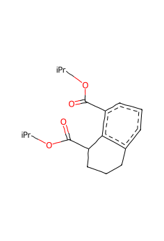 CC(C)OC(=O)c1cccc2c1C(C(=O)OC(C)C)CCC2